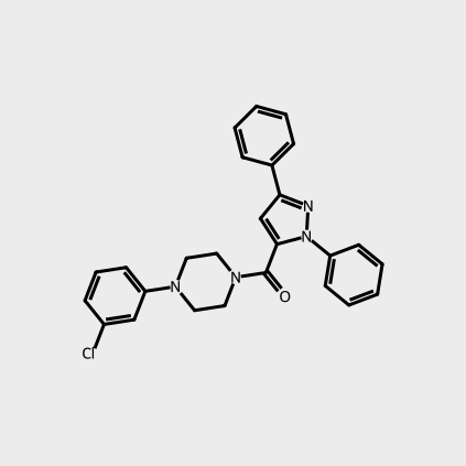 O=C(c1cc(-c2ccccc2)nn1-c1ccccc1)N1CCN(c2cccc(Cl)c2)CC1